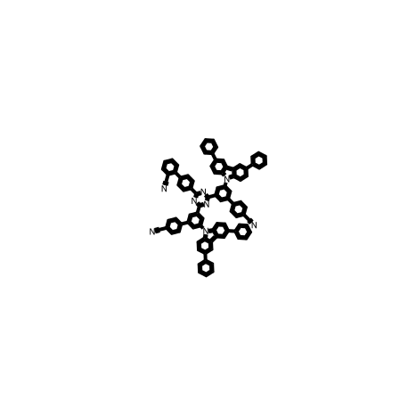 N#Cc1ccc(-c2cc(-c3nc(-c4ccc(-c5ccccc5C#N)cc4)nc(-c4cc(-c5ccc(C#N)cc5)cc(-n5c6ccc(-c7ccccc7)cc6c6cc(-c7ccccc7)ccc65)c4)n3)cc(-n3c4ccc(-c5ccccc5)cc4c4cc(-c5ccccc5)ccc43)c2)cc1